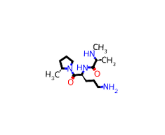 CN[C@@H](C)C(=O)N[C@@H](CCCN)C(=O)N1CCC[C@H]1C